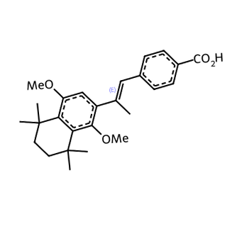 COc1cc(/C(C)=C/c2ccc(C(=O)O)cc2)c(OC)c2c1C(C)(C)CCC2(C)C